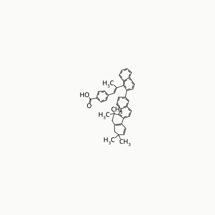 CC(=Cc1ccc(C(=O)O)cc1)c1c(-c2ccc3c4c(ccc3c2)C2=C(CC(C)(C)C=C2)CC4(C)C)ccc2ccccc12